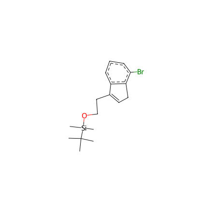 CC(C)(C)[Si](C)(C)OCCC1=CCc2c(Br)cccc21